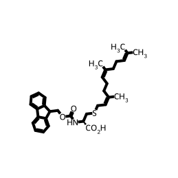 CC(C)=CCCC(C)=CCCC(C)=CCSC[C@H](NC(=O)OCC1c2ccccc2-c2ccccc21)C(=O)O